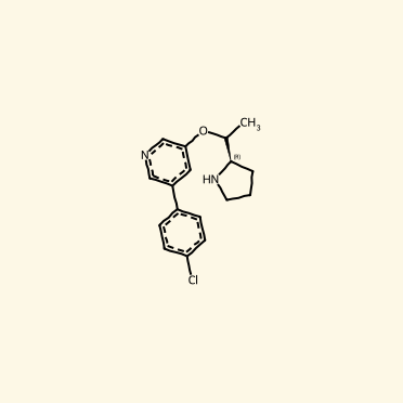 CC(Oc1cncc(-c2ccc(Cl)cc2)c1)[C@H]1CCCN1